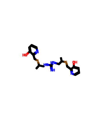 CC(CNC(=N)NCC(C)SCc1ncccc1O)SCc1ncccc1O